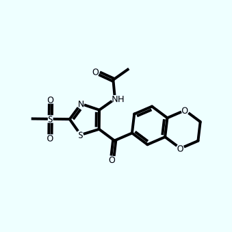 CC(=O)Nc1nc(S(C)(=O)=O)sc1C(=O)c1ccc2c(c1)OCCO2